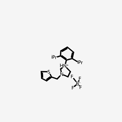 CC(C)c1cccc(C(C)C)c1[NH+]1CCN(Cc2cccs2)C1.F[B-](F)(F)F